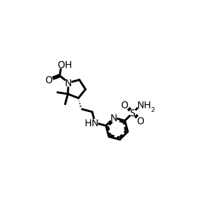 CC1(C)[C@@H](CCNc2cccc(S(N)(=O)=O)n2)CCN1C(=O)O